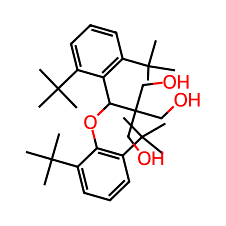 CC(C)(C)c1cccc(C(C)(C)C)c1OC(c1c(C(C)(C)C)cccc1C(C)(C)C)C(CO)(CO)CO